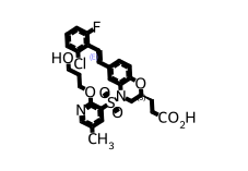 Cc1cnc(OCCCO)c(S(=O)(=O)N2C[C@H](CCC(=O)O)Oc3ccc(/C=C/c4c(F)cccc4Cl)cc32)c1